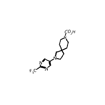 O=C(O)N1CCC2(CC1)CCN(c1cnc(C(F)(F)F)nc1)C2